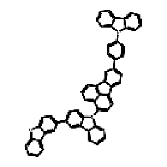 c1ccc2c(c1)oc1ccc(-c3ccc4c(c3)c3ccccc3n4-c3ccc4c5c(cccc35)-c3cc(-c5ccc(-n6c7ccccc7c7ccccc76)cc5)ccc3-4)cc12